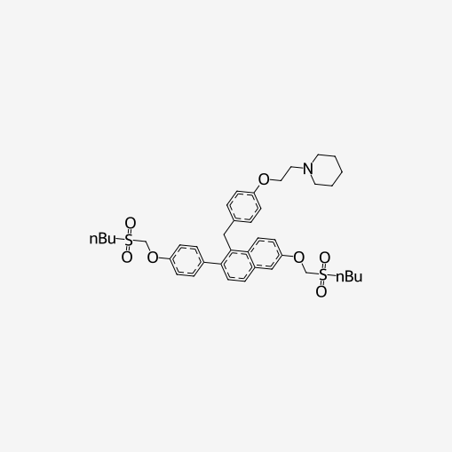 CCCCS(=O)(=O)COc1ccc(-c2ccc3cc(OCS(=O)(=O)CCCC)ccc3c2Cc2ccc(OCCN3CCCCC3)cc2)cc1